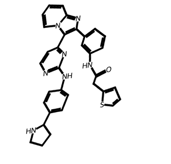 O=C(Cc1cccs1)Nc1cccc(-c2nc3ccccn3c2-c2ccnc(Nc3ccc(C4CCCN4)cc3)n2)c1